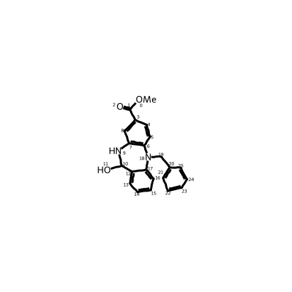 COC(=O)c1ccc2c(c1)NC(O)c1ccccc1N2Cc1ccccc1